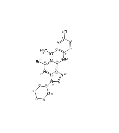 COc1cc(Cl)ccc1Nc1nc(Br)nc2c1ncn2C1CCCCO1